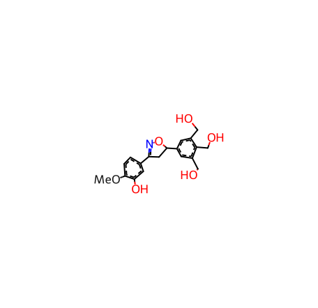 COc1ccc(C2=NOC(c3cc(CO)c(CO)c(CO)c3)C2)cc1O